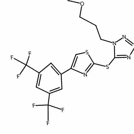 COCCCn1nnnc1Sc1nc(-c2cc(C(F)(F)F)cc(C(F)(F)F)c2)cs1